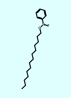 CCCCCCCCCCCCCCON(F)c1ccccc1